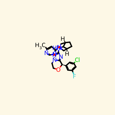 Cc1cc(N2C[C@H]3CC[C@@H](C2)C3Nc2nc3n(n2)CCO[C@@H]3c2cc(F)cc(Cl)c2)ncn1